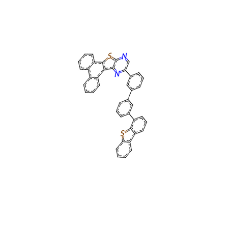 c1cc(-c2cccc(-c3cccc4c3sc3ccccc34)c2)cc(-c2cnc3sc4c5ccccc5c5ccccc5c4c3n2)c1